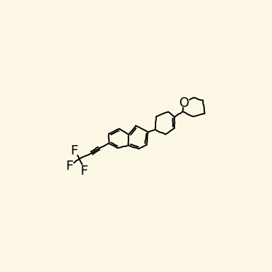 FC(F)(F)C#Cc1ccc2cc(C3CC=C(C4CCCCO4)CC3)ccc2c1